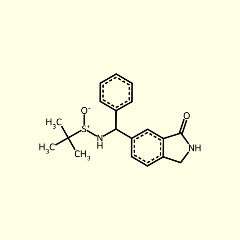 CC(C)(C)[S+]([O-])NC(c1ccccc1)c1ccc2c(c1)C(=O)NC2